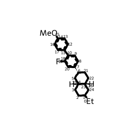 CCC1CC[C@@H]2C[C@H](c3ccc(-c4ccc(OC)cc4)c(F)c3)CC[C@@H]2C1